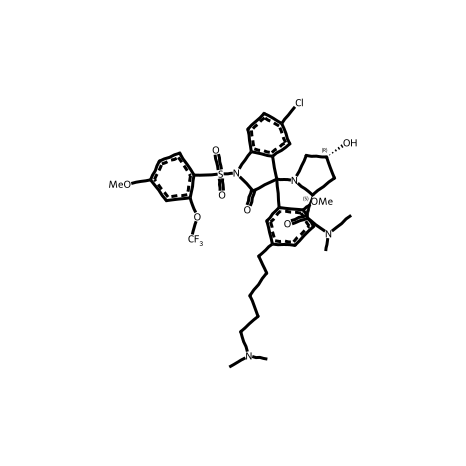 COc1ccc(S(=O)(=O)N2C(=O)C(c3cc(CCCCCN(C)C)ccc3OC)(N3C[C@H](O)C[C@H]3C(=O)N(C)C)c3cc(Cl)ccc32)c(OC(F)(F)F)c1